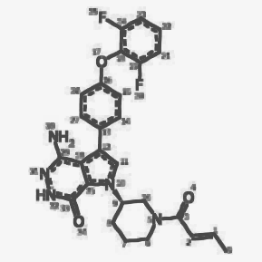 CC=CC(=O)N1CCC[C@@H](n2cc(-c3ccc(Oc4c(F)cccc4F)cc3)c3c(N)n[nH]c(=O)c32)C1